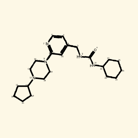 O=C(NCc1ccnc(N2CCN(C3CCCC3)CC2)c1)NC1CCCCC1